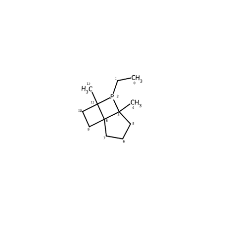 CCP1C2(C)CCCC23CCC13C